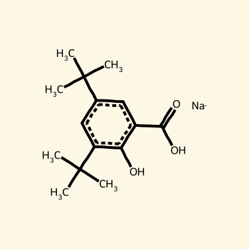 CC(C)(C)c1cc(C(=O)O)c(O)c(C(C)(C)C)c1.[Na]